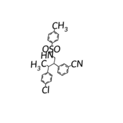 Cc1ccc(S(=O)(=O)NCC(c2cccc(C#N)c2)C(C)c2ccc(Cl)cc2)cc1